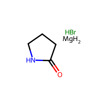 Br.O=C1CCCN1.[MgH2]